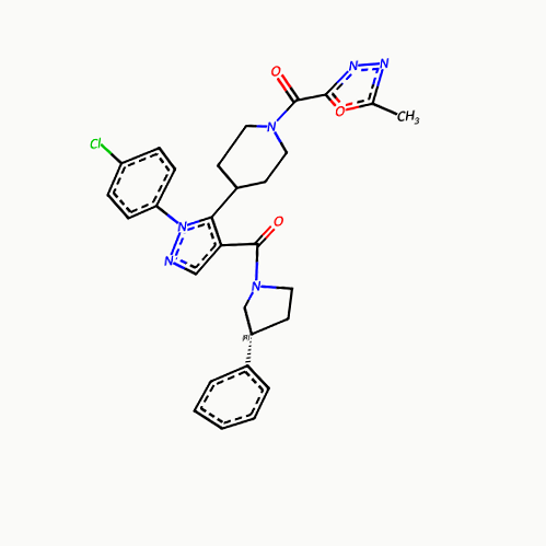 Cc1nnc(C(=O)N2CCC(c3c(C(=O)N4CC[C@H](c5ccccc5)C4)cnn3-c3ccc(Cl)cc3)CC2)o1